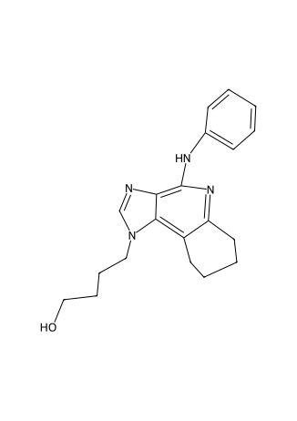 OCCCCn1cnc2c(Nc3ccccc3)nc3c(c21)CCCC3